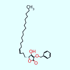 CCCCCCCCCCCCCC/C=C\CC[C@H]1OC(=O)C(OCc2ccccc2)=C1O